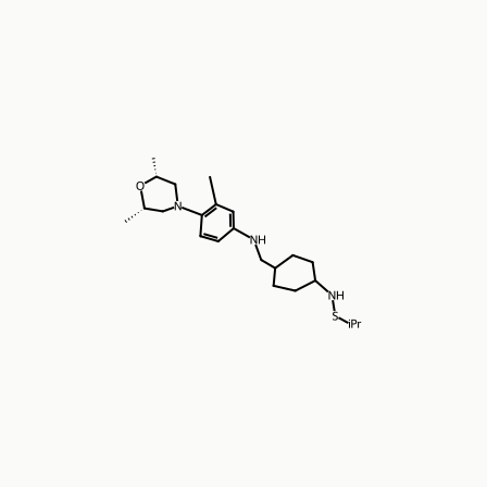 Cc1cc(NCC2CCC(NSC(C)C)CC2)ccc1N1C[C@@H](C)O[C@@H](C)C1